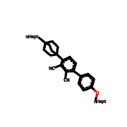 CCCCCCCOc1ccc(-c2ccc(C34CCC(CCCCCCC)(CC3)CC4)c(C#N)c2C#N)cc1